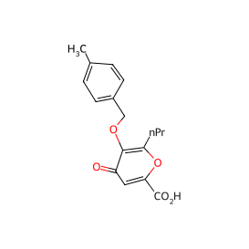 CCCc1oc(C(=O)O)cc(=O)c1OCc1ccc(C)cc1